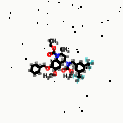 CCOC(=O)N1c2cc(OCc3ccccc3)c(OC)cc2[C@@H](N(Cc2cc(C(F)(F)F)cc(C(F)(F)F)c2)C(=O)OC)C[C@H]1C